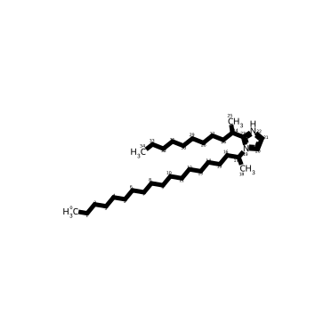 CCCCCCCCCCCCCCCCCC(C)[n+]1cc[nH]c1C(C)CCCCCCCCC